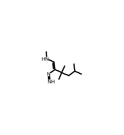 CN/C=C(\N=N)C(C)(C)CC(C)C